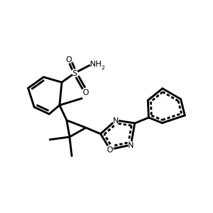 CC1(C)C(c2nc(-c3ccccc3)no2)C1C1(C)C=CC=CC1S(N)(=O)=O